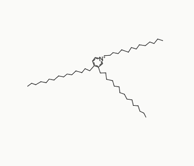 CCCCCCCCCCCCCCCc1cc[n+](CCCCCCCCCCCCCC)cc1CCCCCCCCCCCCCCC